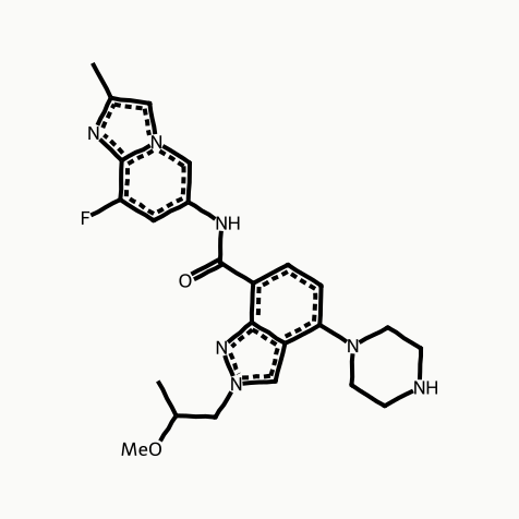 COC(C)Cn1cc2c(N3CCNCC3)ccc(C(=O)Nc3cc(F)c4nc(C)cn4c3)c2n1